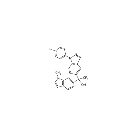 Cn1ccc2ccc(C(O)(c3ccc4c(cnn4-c4ccc(F)cc4)c3)C(F)(F)F)cc21